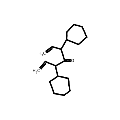 C=CC(C(=O)C(C=C)C1CCCCC1)C1CCCCC1